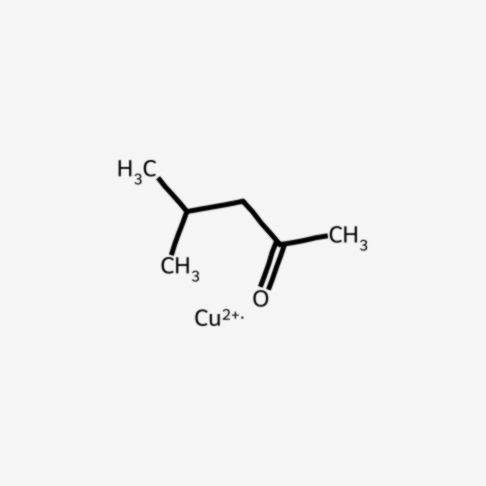 CC(=O)CC(C)C.[Cu+2]